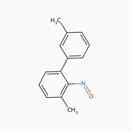 Cc1cccc(-c2cccc(C)c2N=O)c1